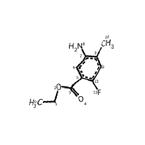 CCOC(=O)c1cc(N)c(C)cc1F